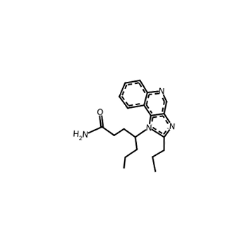 CCCc1nc2cnc3ccccc3c2n1C(CCC)CCC(N)=O